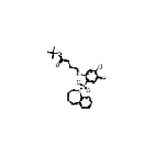 CC(C)(C)OC(=O)CCCOc1cc(Cl)c(Br)cc1S(=O)(=O)N1CCCCc2ccccc21